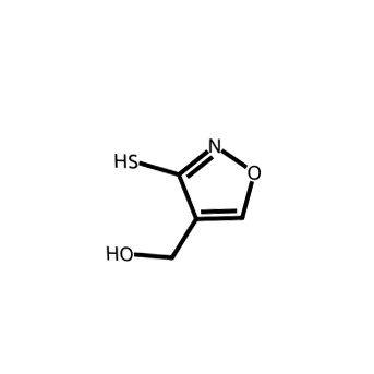 OCc1conc1S